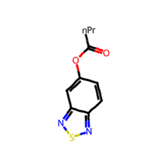 CCCC(=O)Oc1ccc2nsnc2c1